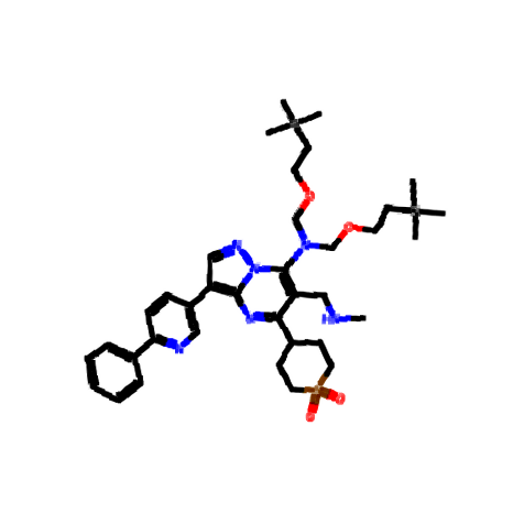 CNCc1c(C2CCS(=O)(=O)CC2)nc2c(-c3ccc(-c4ccccc4)nc3)cnn2c1N(COCC[Si](C)(C)C)COCC[Si](C)(C)C